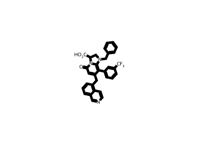 O=C(O)C1CN(Cc2ccccc2)c2c(-c3cccc(C(F)(F)F)c3)c(Cc3cccc4cnccc34)cc(=O)n21